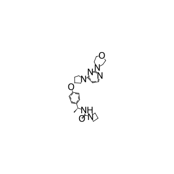 C[C@H](NC(=O)N1CCC1)c1ccc(OC2CCN(c3ccnc(N4CCOCC4)n3)C2)cc1